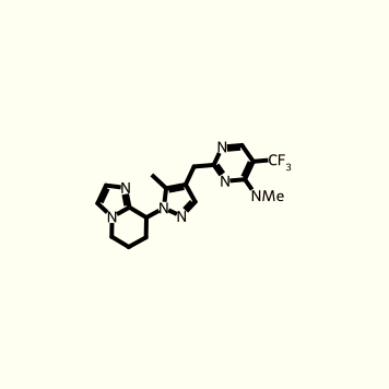 CNc1nc(Cc2cnn(C3CCCn4ccnc43)c2C)ncc1C(F)(F)F